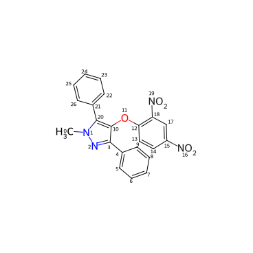 Cn1nc(-c2ccccc2)c(Oc2ccc([N+](=O)[O-])cc2[N+](=O)[O-])c1-c1ccccc1